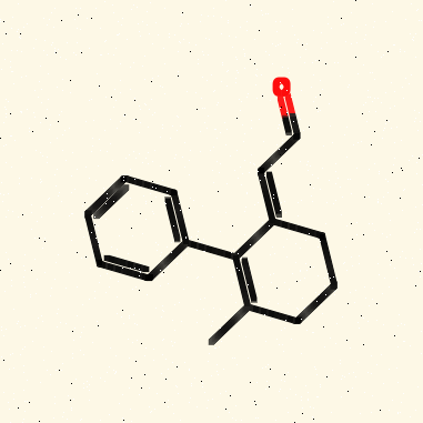 CC1=C(c2ccccc2)/C(=C/C=O)CCC1